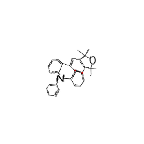 CC1(C)OC(C)(C)c2cc(-c3ccccc3N(c3ccccc3)c3ccccc3)ccc21